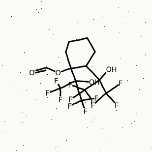 O=[C]OC1(C(O)(C(F)(F)F)C(F)(F)F)CCCCC1C(O)(C(F)(F)F)C(F)(F)F